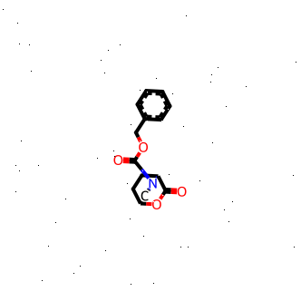 O=C1OC2CCC1N(C(=O)OCc1ccccc1)C2